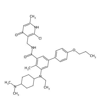 CCCOc1ccc(-c2cc(C(=O)NCc3c(Cl)[nH]c(C)cc3=O)c(C)c(N(CC)C3CCC(N(C)C)CC3)c2)cc1